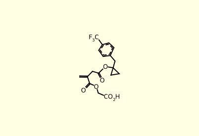 C=C(CC(=O)OC1(Cc2ccc(C(F)(F)F)cc2)CC1)C(=O)OCC(=O)O